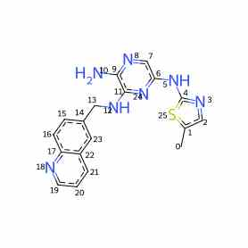 Cc1cnc(Nc2cnc(N)c(NCc3ccc4ncccc4c3)n2)s1